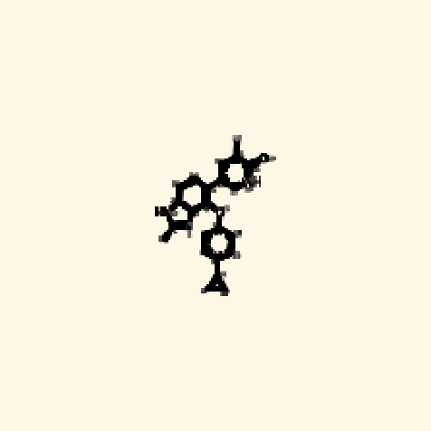 CC1=NC2C(Oc3ccc(C4CC4)cc3)=C(c3c[nH]c(=O)c(C)c3)C=CC2N1